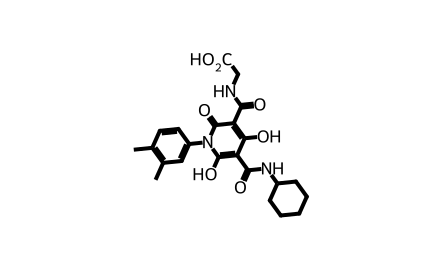 Cc1ccc(-n2c(O)c(C(=O)NC3CCCCC3)c(O)c(C(=O)NCC(=O)O)c2=O)cc1C